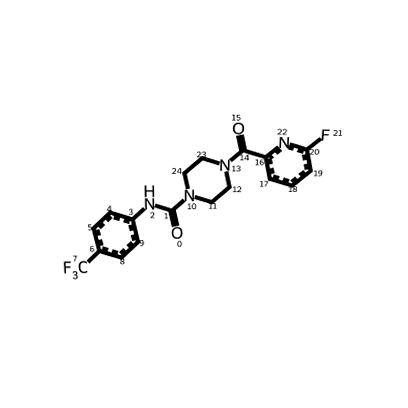 O=C(Nc1ccc(C(F)(F)F)cc1)N1CCN(C(=O)c2cccc(F)n2)CC1